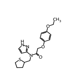 CCOc1ccc(OCC(=O)N(CC2CCCS2)c2cc[nH]n2)cc1